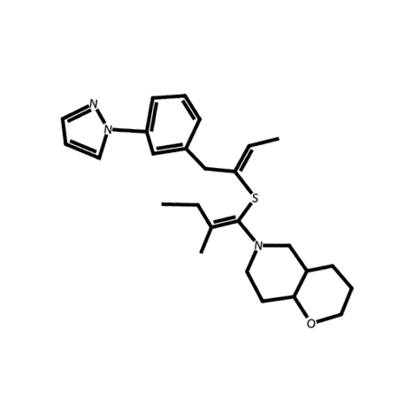 C/C=C(/Cc1cccc(-n2cccn2)c1)S/C(=C(/C)CC)N1CCC2OCCCC2C1